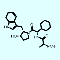 CN[C@@H](C)C(=O)N[C@H](C(=O)N1CC[C@@H](O)[C@H]1Cc1c[nH]c2c1C=CCC2)C1CCCCC1